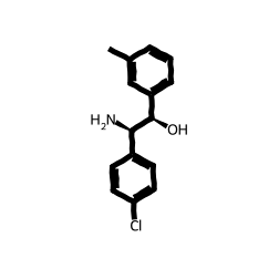 Cc1cccc([C@@H](O)[C@H](N)c2ccc(Cl)cc2)c1